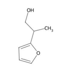 CC(CO)c1ccco1